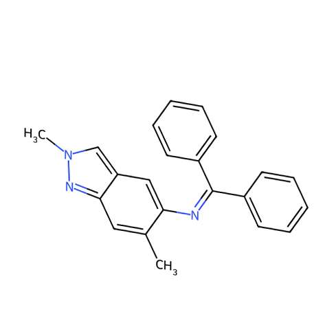 Cc1cc2nn(C)cc2cc1N=C(c1ccccc1)c1ccccc1